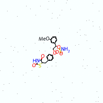 COc1cccc(C(COc2ccc(CC3SC(=O)NC3=O)cc2)OS(N)(=O)=O)c1